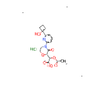 CC(=O)O[C@@H](C(=O)O)[C@H]1OCCN(c2cccc(C3(O)CCC3)n2)C1=O.Cl